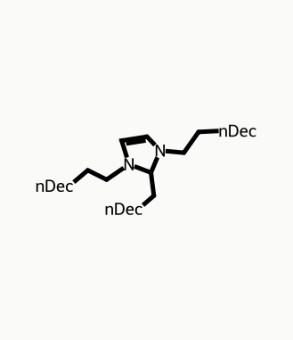 CCCCCCCCCCCCN1C=CN(CCCCCCCCCCCC)C1CCCCCCCCCCC